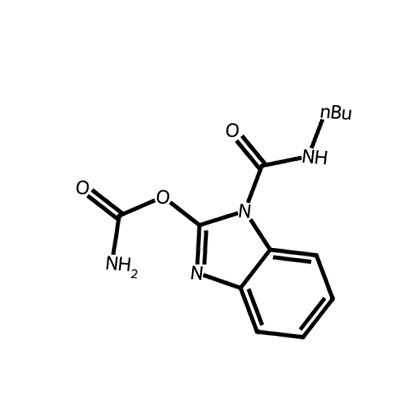 CCCCNC(=O)n1c(OC(N)=O)nc2ccccc21